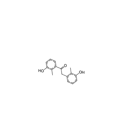 Cc1c(O)cccc1CC(=O)c1cccc(O)c1C